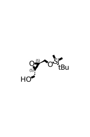 CC(C)(C)[Si](C)(C)OC[C@@H]1O[C@H]1CO